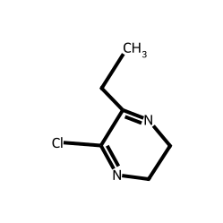 CCC1=NCCN=C1Cl